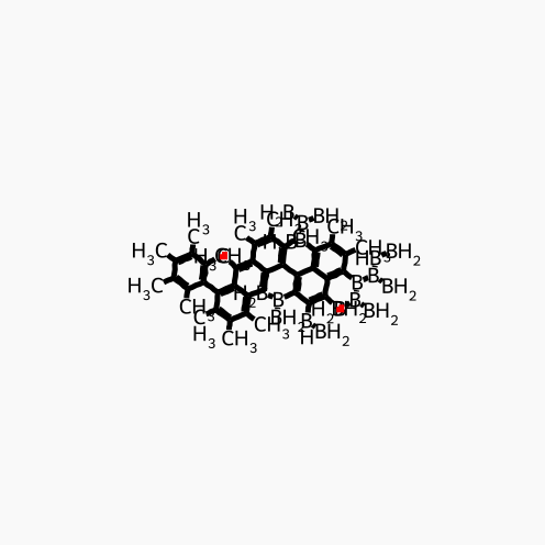 BBB(B)B(B(B)B)c1c(C)c(C)c(B(B)B(B)B)c2c(-c3c(C)c(C)c(C)c4c(C)c5c(-c6c(C)c(C)c(C)c(C)c6C)c(C)c(C)c(C)c5cc34)c(B(B)B)c(BB)c(B)c12